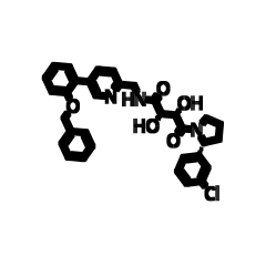 O=C(NCc1ccc(-c2ccccc2OCc2ccccc2)cn1)[C@H](O)[C@@H](O)C(=O)N1CCC[C@@H]1c1cccc(Cl)c1